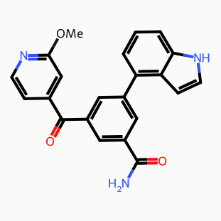 COc1cc(C(=O)c2cc(C(N)=O)cc(-c3cccc4[nH]ccc34)c2)ccn1